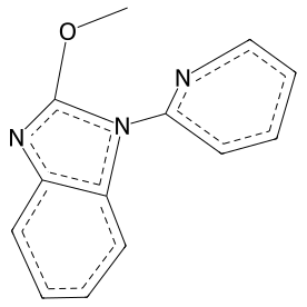 COc1nc2ccccc2n1-c1ccccn1